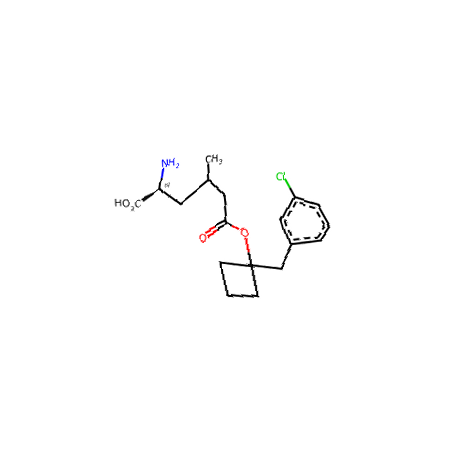 CC(CC(=O)OC1(Cc2cccc(Cl)c2)CCC1)C[C@H](N)C(=O)O